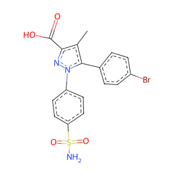 Cc1c(C(=O)O)nn(-c2ccc(S(N)(=O)=O)cc2)c1-c1ccc(Br)cc1